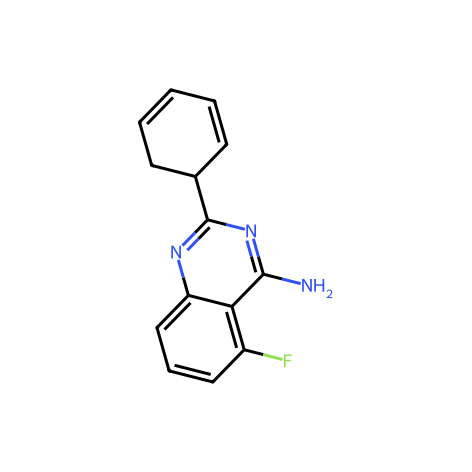 Nc1nc(C2C=CC=CC2)nc2cccc(F)c12